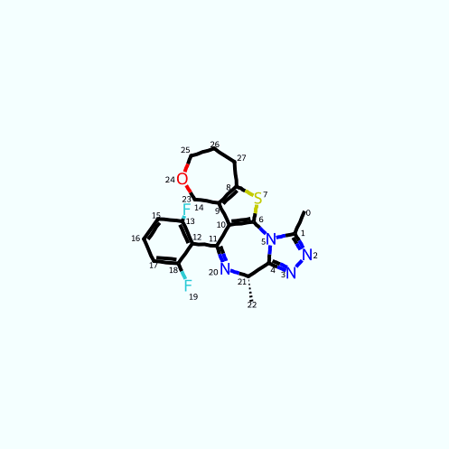 Cc1nnc2n1-c1sc3c(c1C(c1c(F)cccc1F)=N[C@H]2C)COCCC3